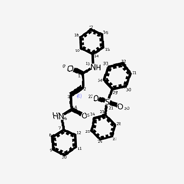 O=C(/C=C/C(=O)Nc1ccccc1)Nc1ccccc1.O=S(=O)(c1ccccc1)c1ccccc1